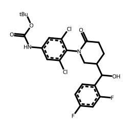 CC(C)(C)OC(=O)Nc1cc(Cl)c(N2CC(C(O)c3ccc(F)cc3F)CCC2=O)c(Cl)c1